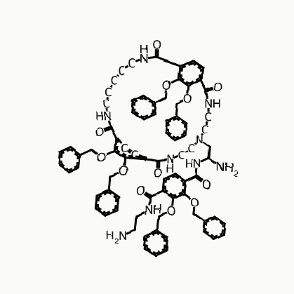 NCCNC(=O)c1ccc(C(=O)NC(N)CN2CCNC(=O)c3ccc(c(OCc4ccccc4)c3OCc3ccccc3)C(=O)NCCCCCNC(=O)c3ccc(c(OCc4ccccc4)c3OCc3ccccc3)C(=O)NCC2)c(OCc2ccccc2)c1OCc1ccccc1